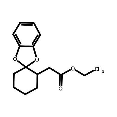 CCOC(=O)CC1CCCCC12Oc1ccccc1O2